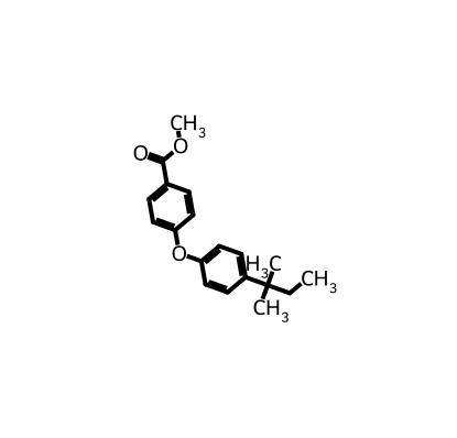 CCC(C)(C)c1ccc(Oc2ccc(C(=O)OC)cc2)cc1